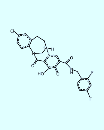 O=C(NCc1ccc(F)cc1F)c1cn2c(c(O)c1=O)C(=O)N1C[C@@H]2CCc2cc(Cl)ccc21